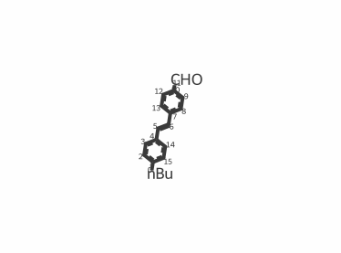 CCCCc1ccc(C=Cc2ccc(C=O)cc2)cc1